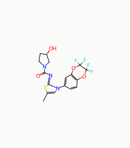 Cc1cn(-c2ccc3c(c2)OC(F)(F)C(F)(F)O3)c(=NC(=O)N2CC[C@@H](O)C2)s1